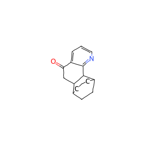 O=C1CC2C3CCCC(CC3)C2c2ncccc21